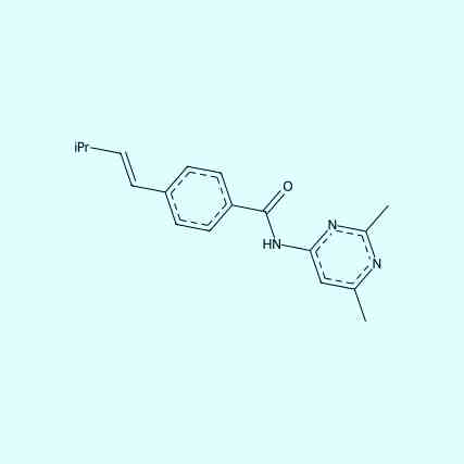 Cc1cc(NC(=O)c2ccc(/C=C/C(C)C)cc2)nc(C)n1